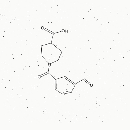 O=Cc1cccc(C(=O)N2CCC(C(=O)O)CC2)c1